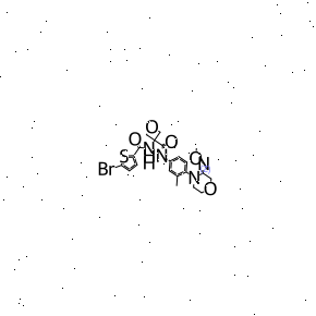 CO/N=C1/COCCN1c1ccc(NC(=O)C2(NC(=O)c3ccc(Br)s3)COC2)cc1C